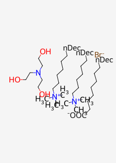 CCCCCCCCCCCCCCCCCC(=O)[O-].CCCCCCCCCCCCCCCC[N+](C)(C)C.CCCCCCCCCCCCCCCC[N+](C)(C)C.OCCN(CCO)CCO.[Br-]